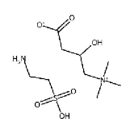 C[N+](C)(C)CC(O)CC(=O)[O-].NCCS(=O)(=O)O